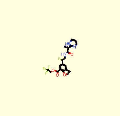 O=C(OCC(F)(F)F)c1cc(C(F)CNC(=O)c2cnn3cccnc23)cc2ccoc12